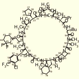 CC[C@H](C)[C@@H]1NC(=O)[C@H](CC(C)C)N(C)C(=O)C[C@@H](C(=O)N(C)C)N(C)C(=O)[C@H](C2CCCC2)N(C)C(=O)[C@H](C)NC(=O)[C@H](CCN2CCCC(F)(F)C2)N(C)C(=O)[C@H](CCc2ccc(C(F)(F)F)c(Cl)c2)NC(=O)CN(C)C(=O)[C@H](CC2CCCCC2)N(C)C(=O)[C@@H]2CCN2C(=O)[C@H](C)N(C)C1=O